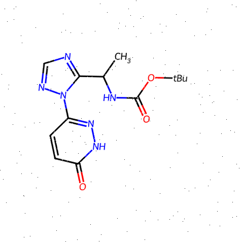 CC(NC(=O)OC(C)(C)C)c1ncnn1-c1ccc(=O)[nH]n1